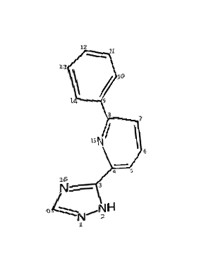 [c]1n[nH]c(-c2cccc(-c3ccccc3)n2)n1